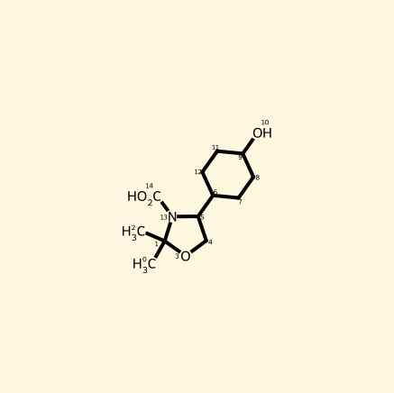 CC1(C)OCC(C2CCC(O)CC2)N1C(=O)O